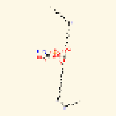 CCCCC/C=C\C/C=C\CCCCCCCCCCCC(=O)O[C@H](COC(=O)CCCCCCC/C=C\CCCCCCCC)COP(=O)(O)OC[C@H](N)C(=O)O